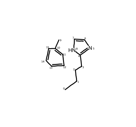 CCCCc1ncc[nH]1.Cc1ccccc1